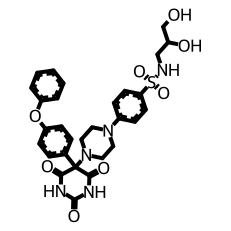 O=C1NC(=O)C(c2ccc(Oc3ccccc3)cc2)(N2CCN(c3ccc(S(=O)(=O)NCC(O)CO)cc3)CC2)C(=O)N1